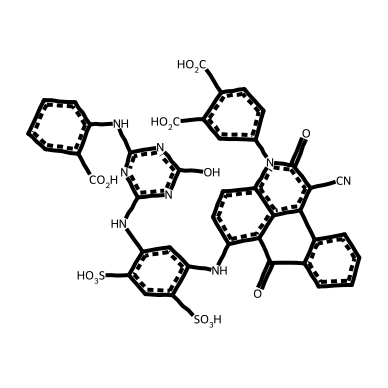 N#Cc1c2c3c(c(Nc4cc(Nc5nc(O)nc(Nc6ccccc6C(=O)O)n5)c(S(=O)(=O)O)cc4S(=O)(=O)O)ccc3n(-c3ccc(C(=O)O)c(C(=O)O)c3)c1=O)C(=O)c1ccccc1-2